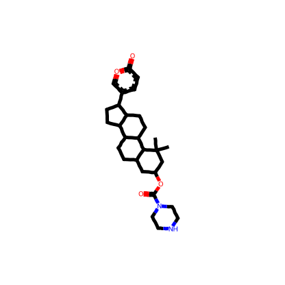 CC1(C)CC(OC(=O)N2CCNCC2)CC2CCC3C4CCC(c5ccc(=O)oc5)C4CCC3C21